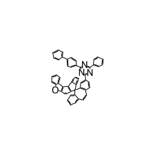 C1=Cc2ccc(-c3nc(-c4ccccc4)nc(-c4ccc(-c5ccccc5)cc4)n3)cc2C2(c3ccccc31)c1ccccc1-c1c2ccc2oc3ccccc3c12